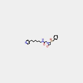 O=C(CN1C(=O)CC1[S+]([O-])Cc1ccccc1)NCCCCCCc1ccncc1